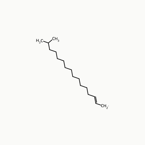 [CH2]C=CCCCCCCCCCCCC(C)C